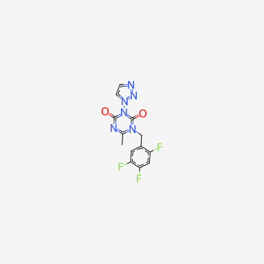 Cc1nc(=O)n(-n2ccnn2)c(=O)n1Cc1cc(F)c(F)cc1F